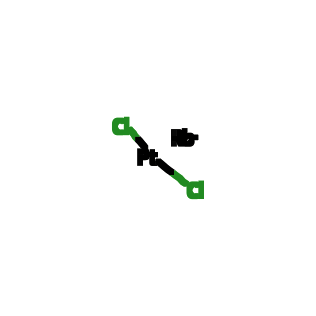 [Cl][Pt][Cl].[Rb]